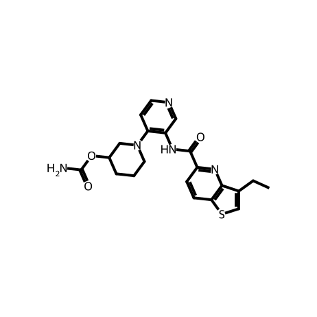 CCc1csc2ccc(C(=O)Nc3cnccc3N3CCCC(OC(N)=O)C3)nc12